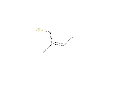 CC=C(C)C[S]